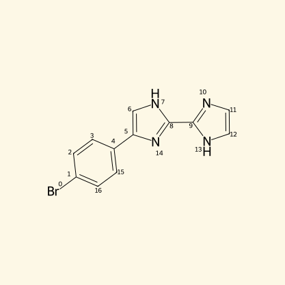 Brc1ccc(-c2c[nH]c(-c3ncc[nH]3)n2)cc1